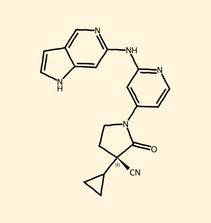 N#C[C@@]1(C2CC2)CCN(c2ccnc(Nc3cc4[nH]ccc4cn3)c2)C1=O